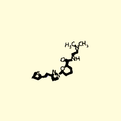 CN(C)CCNC(=O)C1CCCC(n2ccc(/C=C/c3cccs3)n2)O1